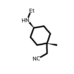 CCN[C@H]1CC[C@](C)(CC#N)CC1